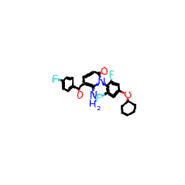 Nc1c(C(=O)c2ccc(F)cc2)ccc(=O)n1-c1c(F)cc(OC2CCCCC2)cc1F